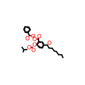 CCCCCCCC(=O)c1ccc(OC(=O)OCC(C)C)c(C(=O)OOC(=O)c2ccccc2)c1